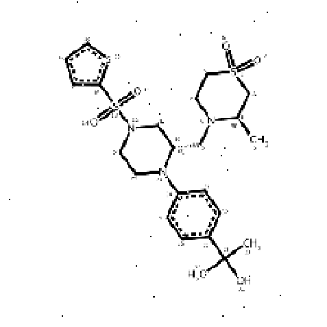 C[C@@H]1CS(=O)(=O)CCN1C[C@H]1CN(S(=O)(=O)c2cccs2)CCN1c1ccc(C(C)(C)O)cc1